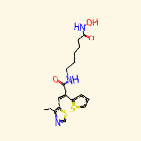 Cc1ncsc1/C=C(/C(=O)NCCCCCC(=O)NO)c1cccs1